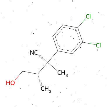 C[C@H](CO)[C@@](C)(C#N)c1ccc(Cl)c(Cl)c1